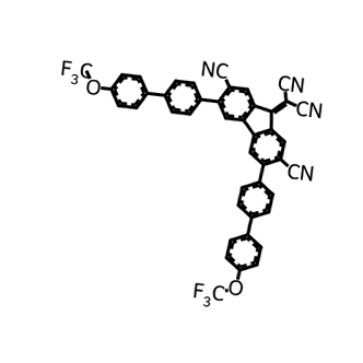 N#CC(C#N)=C1c2cc(C#N)c(-c3ccc(-c4ccc(OC(F)(F)F)cc4)cc3)cc2-c2cc(-c3ccc(-c4ccc(OC(F)(F)F)cc4)cc3)c(C#N)cc21